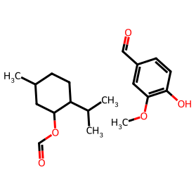 CC1CCC(C(C)C)C(OC=O)C1.COc1cc(C=O)ccc1O